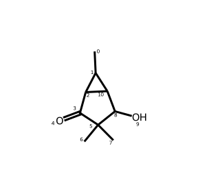 CC1C2C(=O)C(C)(C)C(O)C12